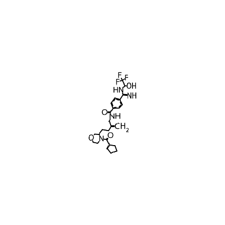 C=C(CCC1COCCN1C(=O)C1CCCC1)CNC(=O)c1ccc(C(=N)NC(O)C(F)(F)F)cc1